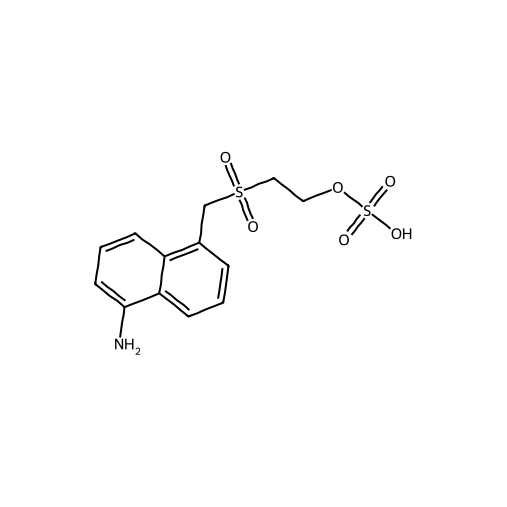 Nc1cccc2c(CS(=O)(=O)CCOS(=O)(=O)O)cccc12